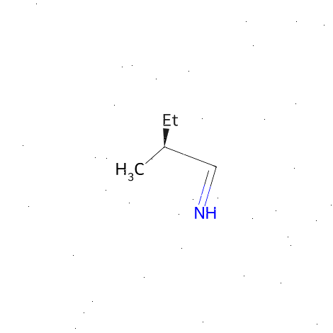 CC[C@H](C)C=N